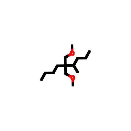 CCCCC(COC)(COC)C(C)CCC